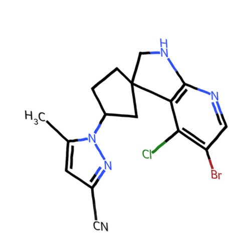 Cc1cc(C#N)nn1C1CCC2(CNc3ncc(Br)c(Cl)c32)C1